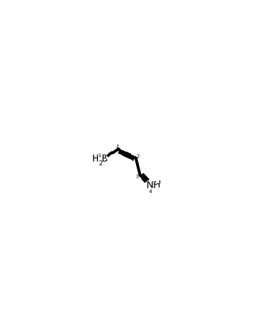 B/C=C\C=N